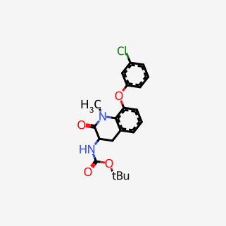 CN1C(=O)C(NC(=O)OC(C)(C)C)Cc2cccc(Oc3cccc(Cl)c3)c21